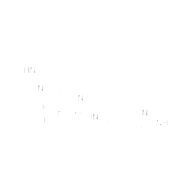 Nc1ccc(-c2ccc(NCC(=O)Nc3ccc(CN4CCNCC4)c(C(F)(F)F)c3)cc2)cn1